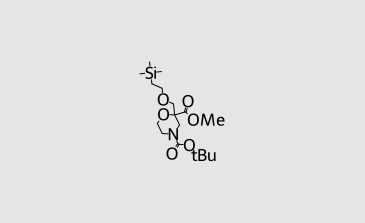 COC(=O)C1(COCC[Si](C)(C)C)CN(C(=O)OC(C)(C)C)CCO1